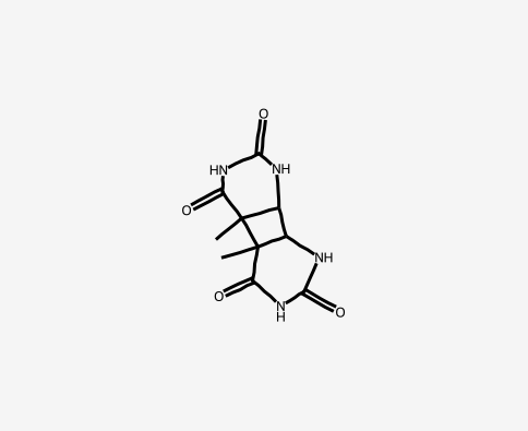 CC12C(=O)NC(=O)NC1C1NC(=O)NC(=O)C12C